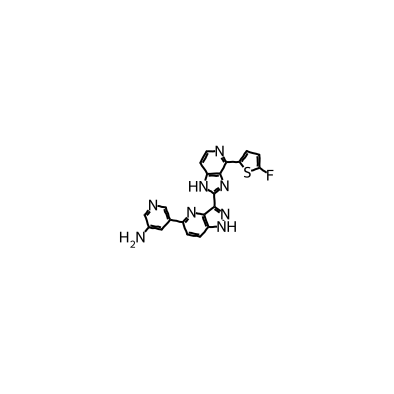 Nc1cncc(-c2ccc3[nH]nc(-c4nc5c(-c6ccc(F)s6)nccc5[nH]4)c3n2)c1